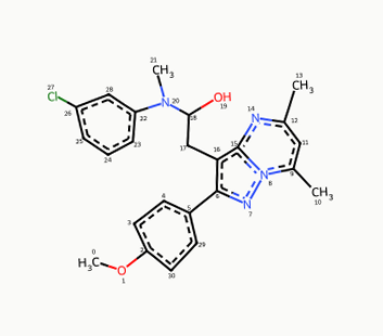 COc1ccc(-c2nn3c(C)cc(C)nc3c2CC(O)N(C)c2cccc(Cl)c2)cc1